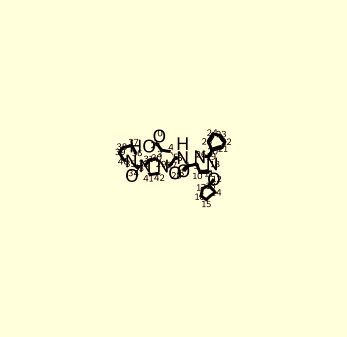 O=C(O)CC[C@H](NC(=O)c1cc(OC2CCCC2)nc(-c2ccccc2)n1)C(=O)N1CCN(C(=O)N2CCCCC2)CC1